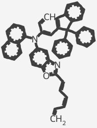 C=C/C=C\C=C\c1nc2cc(N(/C(C=C)=C/C3=Cc4ccccc4C3(c3ccccc3)c3ccccc3)c3cccc4ccccc34)ccc2o1